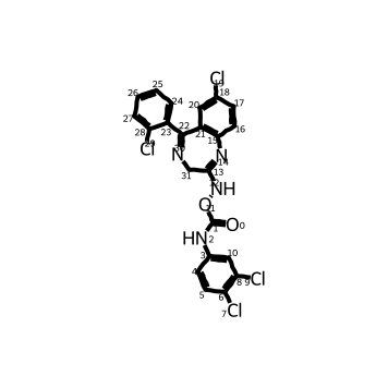 O=C(Nc1ccc(Cl)c(Cl)c1)ONC1=Nc2ccc(Cl)cc2C(c2ccccc2Cl)=NC1